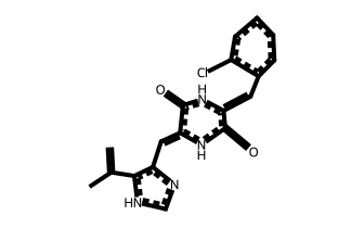 C=C(C)c1[nH]cnc1/C=c1\[nH]c(=O)/c(=C/c2ccccc2Cl)[nH]c1=O